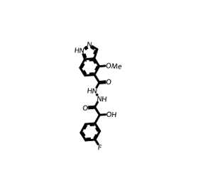 COc1c(C(=O)NNC(=O)C(O)c2cccc(F)c2)ccc2[nH]ncc12